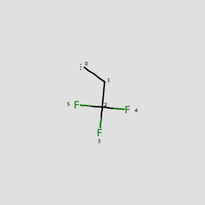 [C]CC(F)(F)F